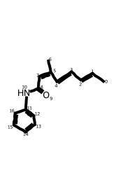 CC=CC=CC(C)=CC(=O)Nc1ccccc1